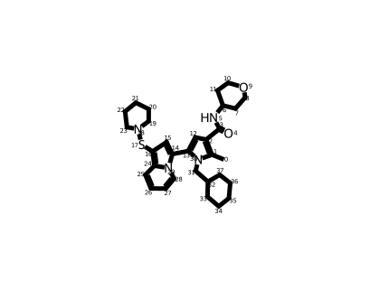 Cc1c(C(=O)NC2CCOCC2)cc(-c2cc(SN3CCCCC3)c3ccccn23)n1CC1CCCCC1